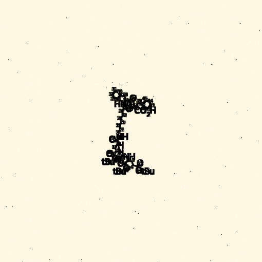 CC(C)(C)OC(=O)CC[C@H](NC(=O)N[C@@H](CCC(=O)NCCCCCCCC(=O)N[C@@H](Cc1ccccc1)C(=O)N[C@@H](Cc1ccccc1)C(=O)O)C(=O)OC(C)(C)C)C(=O)OC(C)(C)C